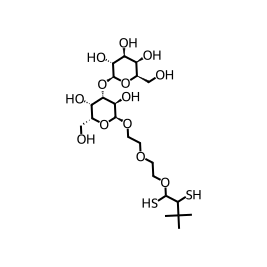 CC(C)(C)C(S)C(S)OCCOCCO[C@H]1O[C@H](CO)[C@H](O)[C@H](O[C@@H]2O[C@H](CO)[C@H](O)[C@H](O)[C@H]2O)[C@H]1O